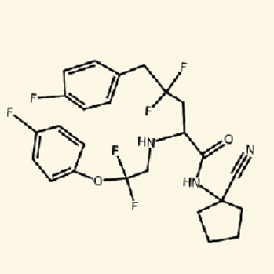 N#CC1(NC(=O)C(CC(F)(F)Cc2ccc(F)cc2)NCC(F)(F)Oc2ccc(F)cc2)CCCC1